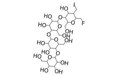 OCC1OC(OC2C(CO)OC(OC3C(CO)OC(OC4C(CO)OC(CF)C(CI)C4O)C(O)C3O)C(O)C2O)C(O)C(O)C1O